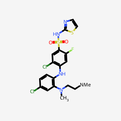 CNCCN(C)c1cc(Cl)ccc1Nc1cc(F)c(S(=O)(=O)Nc2nccs2)cc1Cl